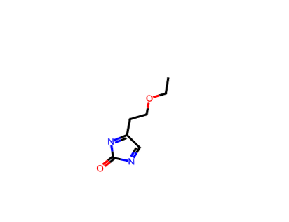 CCOCCC1=NC(=O)N=C1